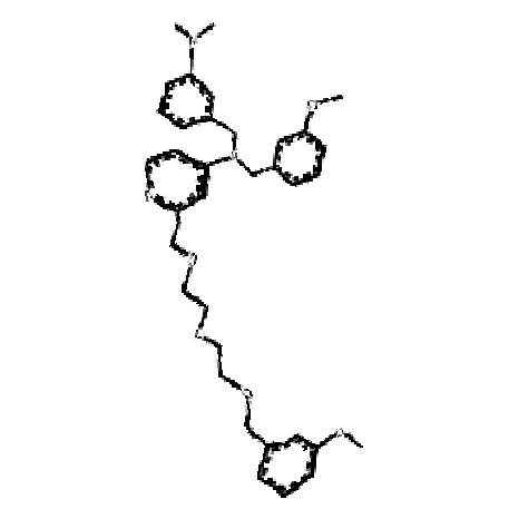 COc1cccc(COCCOCCOCc2cc(N(Cc3cccc(OC)c3)Cc3cccc(N(C)C)c3)ccn2)c1